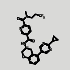 CN(CCC(F)(F)F)C(=O)c1ccc(C(=O)N[C@@H]2COc3cccc(-c4cnc(C5CC5)nc4)c3C2)cn1